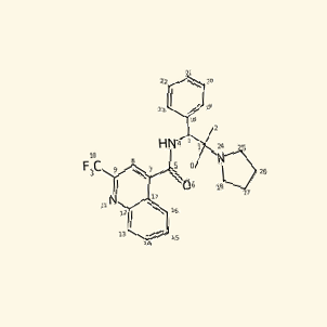 CC(C)(C(NC(=O)c1cc(C(F)(F)F)nc2ccccc12)c1ccccc1)N1CCCC1